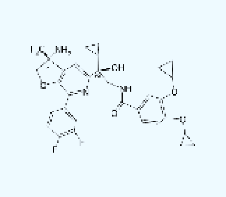 N[C@@]1(C(F)(F)F)COc2c1cc([C@@](O)(CNC(=O)c1ccc(OC3CC3)c(OC3CC3)c1)C1CC1)nc2-c1ccc(F)c(F)c1